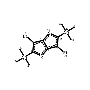 CCc1[c]([Sn]([CH3])([CH3])[CH3])sc2c(CC)[c]([Sn]([CH3])([CH3])[CH3])sc12